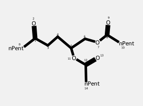 CCCCCC(=O)CCC(COC(=O)CCCCC)OC(=O)CCCCC